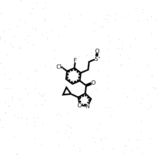 O=[S+]CCc1c(C(=O)c2cnoc2C2CC2)ccc(Cl)c1F